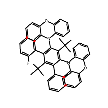 CC(C)(C)c1c(-c2ccccc2F)c(N2c3ccccc3Oc3ccccc32)c(C(C)(C)C)c(N2c3ccccc3Oc3ccccc32)c1-c1ccccc1F